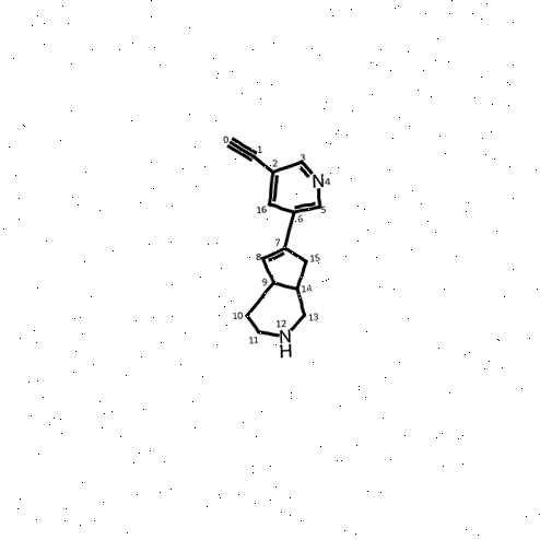 C#Cc1cncc(C2=CC3CCNCC3C2)c1